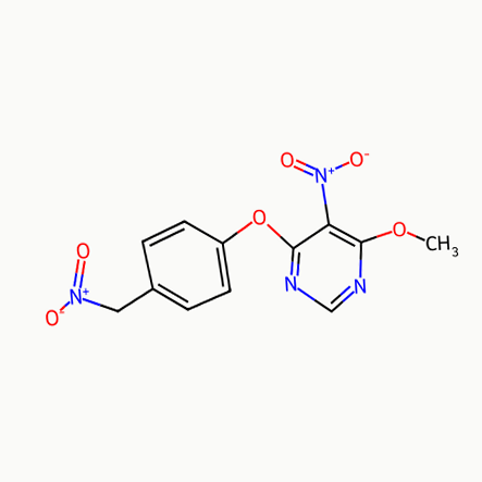 COc1ncnc(Oc2ccc(C[N+](=O)[O-])cc2)c1[N+](=O)[O-]